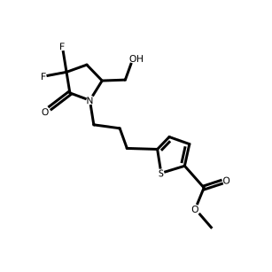 COC(=O)c1ccc(CCCN2C(=O)C(F)(F)CC2CO)s1